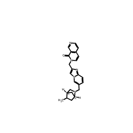 CC1C[C@@H]2C[C@H]1CN2Cc1ccc2nc(Cn3ccc4ccncc4c3=O)cn2c1